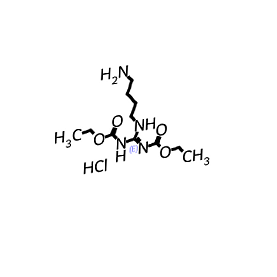 CCOC(=O)/N=C(\NCCCCN)NC(=O)OCC.Cl